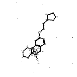 c1cc2c(cc1OCCC1CCCC1)[C@@]13CCCC[C@H]1[C@@H](C2)NCC3